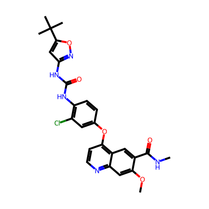 CNC(=O)c1cc2c(Oc3ccc(NC(=O)Nc4cc(C(C)(C)C)on4)c(Cl)c3)ccnc2cc1OC